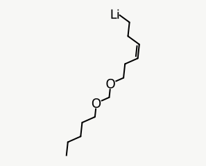 [Li][CH2]C/C=C\CCOCOCCCCC